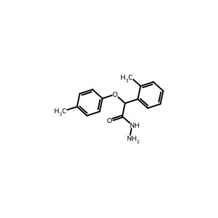 Cc1ccc(OC(C(=O)NN)c2ccccc2C)cc1